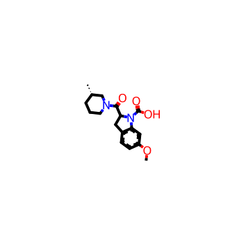 COc1ccc2c(c1)N(C(=O)O)C(C(=O)N1CCC[C@H](C)C1)C2